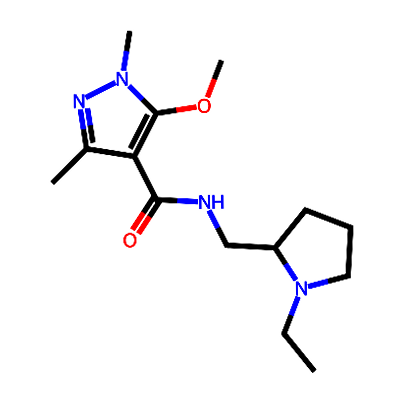 CCN1CCCC1CNC(=O)c1c(C)nn(C)c1OC